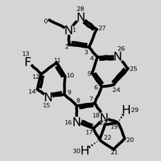 Cn1cc(-c2cc(-c3c(-c4ccc(F)cn4)nc4n3[C@H]3CC[C@@H]4C3)ccn2)cn1